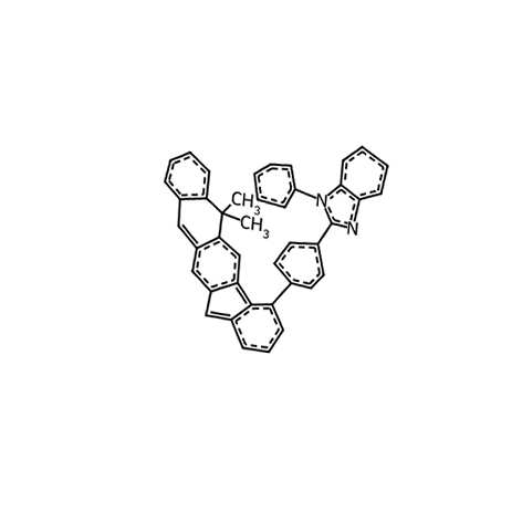 CC1(C)c2ccccc2C=c2cc3c(cc21)=c1c(-c2ccc(-c4nc5ccccc5n4-c4ccccc4)cc2)cccc1=C3